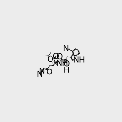 CC(C)OC(=O)[C@H](CCC(=O)C=[N+]=[N-])NC(=O)[C@@H](O)Cc1c[nH]c2cccc(C#N)c12